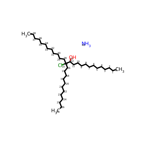 CCCCCCCCCCCCC(O)C(Cl)(CCCCCCCCCCCC)CCCCCCCCCCCC.N